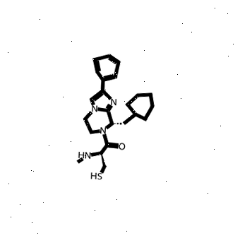 CN[C@H](CS)C(=O)N1CCn2cc(-c3ccccc3)nc2[C@@H]1CC1CCCCC1